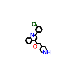 O=C(CC1CCNCC1)c1cc(-c2cccc(Cl)c2)nc2ccccc12